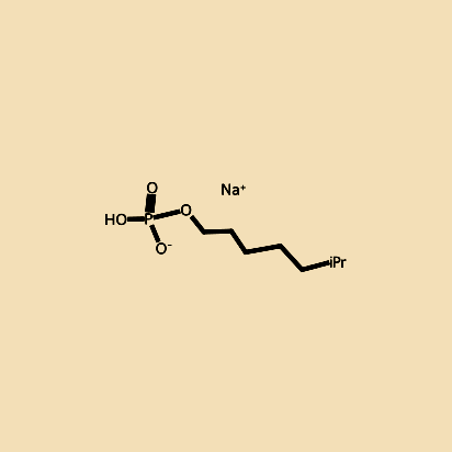 CC(C)CCCCCOP(=O)([O-])O.[Na+]